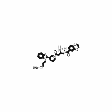 COCCCn1c([C@@H]2CCCN(C(=O)C[C@@H](N)CNC(=O)c3ccc4c(c3)OCCO4)C2)nc2ccccc21